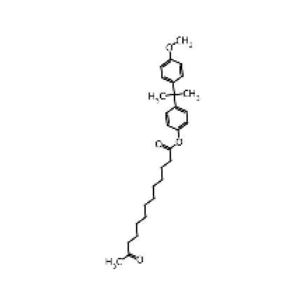 COc1ccc(C(C)(C)c2ccc(OC(=O)CCCCCCCCCCC(C)=O)cc2)cc1